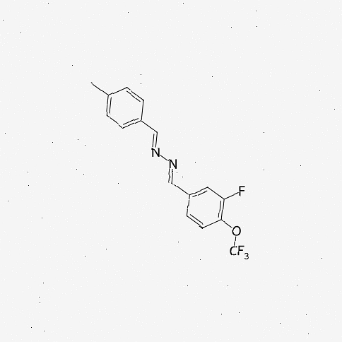 Cc1ccc(C=NN=Cc2ccc(OC(F)(F)F)c(F)c2)cc1